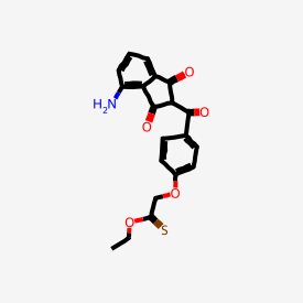 CCOC(=S)COc1ccc(C(=O)C2C(=O)c3cccc(N)c3C2=O)cc1